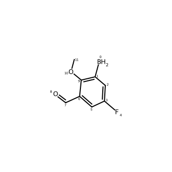 Bc1cc(F)cc(C=O)c1OC